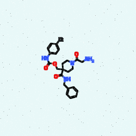 CCc1ccc(NC(=O)OCC2(C(=O)NCc3ccccc3)CCN(C(=O)CN)CC2)cc1